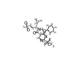 CS(=O)(=O)/C=C/C(NC(=O)c1cnc(C(F)(F)C(F)(F)F)nc1Oc1ccccc1)C1CC1